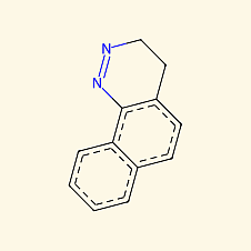 c1ccc2c3c(ccc2c1)CCN=N3